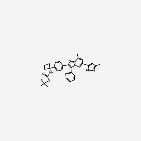 Cc1cc(-c2cc(C)c3nc(-c4ccc(C5(NC(=O)OC(C)(C)C)CCC5)cc4)c(-c4ccccc4)n3c2)[nH]n1